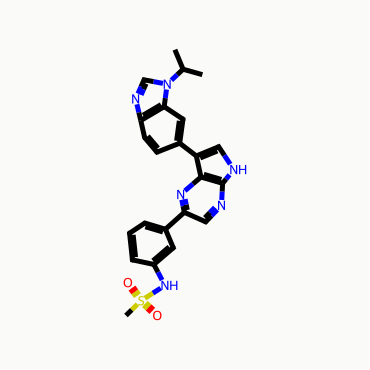 CC(C)n1cnc2ccc(-c3c[nH]c4ncc(-c5cccc(NS(C)(=O)=O)c5)nc34)cc21